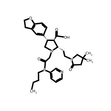 CCCCN(C(=O)CN1C[C@H](c2ccc3c(c2)CCO3)[C@@H](C(=O)O)[C@@H]1CCN1CC(C)(C)CC1=O)c1cccnc1